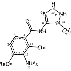 COc1ccc(C(=O)NC2=NNNN2C)c(Cl)c1NC(C)=O